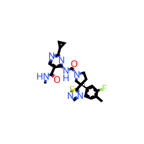 CNC(=O)c1cnc(C2CC2)nc1NC(=O)N1CC[C@](c2ccc(C)c(F)c2)(c2ncns2)C1